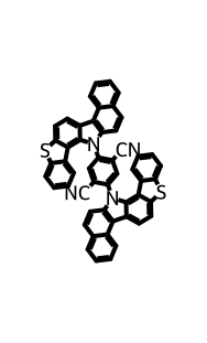 N#Cc1cc(-n2c3ccc4ccccc4c3c3ccc4sc5ccccc5c4c32)c(C#N)cc1-n1c2ccc3ccccc3c2c2ccc3sc4ccccc4c3c21